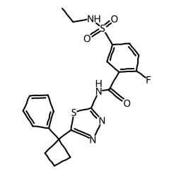 CCNS(=O)(=O)c1ccc(F)c(C(=O)Nc2nnc(C3(c4ccccc4)CCC3)s2)c1